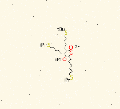 CC(C)O[C@H]1OC(CCCCCCSC(C)C)[C@@H](OC(C)C)[C@H](CCCCCSC(C)C)C1CCCCCSC(C)(C)C